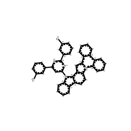 Clc1cccc(-c2cc(-n3c4ccccc4c4ccc5c(cc6c7ccccc7c7ccccc7n65)c43)nc(-c3cccc(Cl)c3)n2)c1